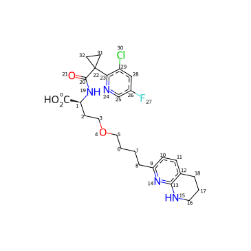 O=C(O)[C@H](CCOCCCCc1ccc2c(n1)NCCC2)NC(=O)C1(c2ncc(F)cc2Cl)CC1